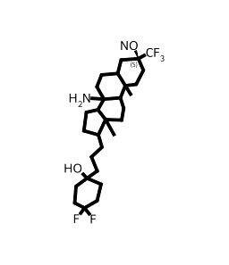 CC12CCC3C4(C)CC[C@@](N=O)(C(F)(F)F)CC4CCC3(N)C1CCC2CCCC1(O)CCC(F)(F)CC1